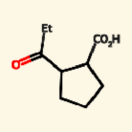 CCC(=O)C1CCCC1C(=O)O